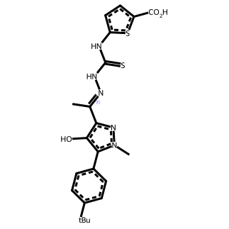 C/C(=N\NC(=S)Nc1ccc(C(=O)O)s1)c1nn(C)c(-c2ccc(C(C)(C)C)cc2)c1O